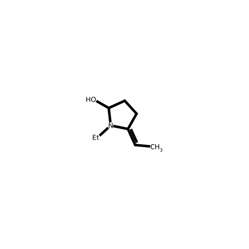 C/C=C1\CCC(O)N1CC